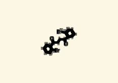 O=C(CCC(=O)c1ccccc1Br)c1ccccc1Br